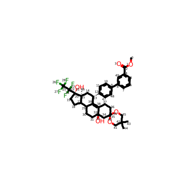 COC(=O)c1cccc(-c2ccc([C@H]3C[C@@]4(C)C(CC[C@@]4(O)C(F)(F)C(F)(F)F)C4CCC5(O)CC6(CCC5=C43)OCC(C)(C)CO6)cc2)c1